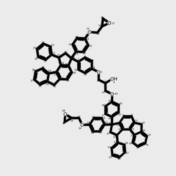 OC(COc1ccc(C2(c3ccc(OCC4CO4)cc3)CC(c3ccccc3)c3c2ccc2c3-c3ccccc3C2)cc1)COc1ccc(C2(c3ccc(OCC4CO4)cc3)CC(c3ccccc3)c3c2ccc2c3-c3ccccc3C2)cc1